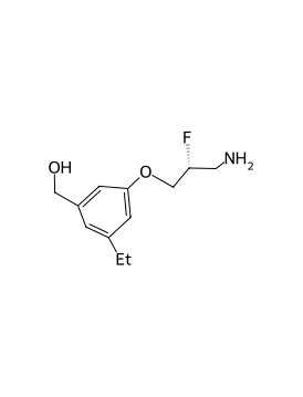 CCc1cc(CO)cc(OC[C@H](F)CN)c1